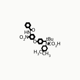 CC1(C)CCC(N(C(=O)O)C(c2ccc(Oc3ccc(NC(=O)c4ccccc4)c([N+](=O)[O-])c3)cc2)C(C)(C)C)CC1